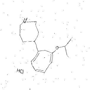 CC(C)Oc1ccccc1C1CCNCC1.Cl